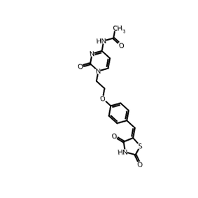 CC(=O)Nc1ccn(CCOc2ccc(C=C3SC(=O)NC3=O)cc2)c(=O)n1